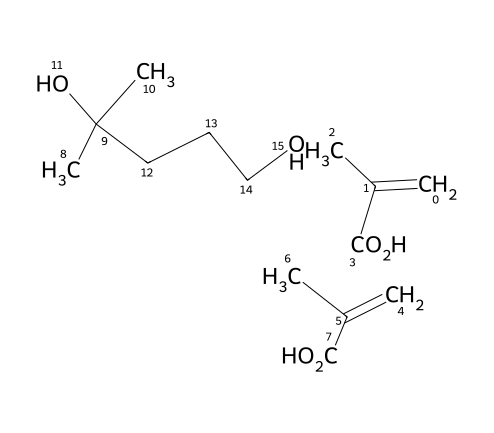 C=C(C)C(=O)O.C=C(C)C(=O)O.CC(C)(O)CCCO